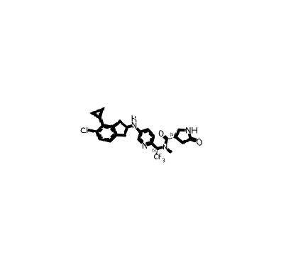 CN(C(=O)[C@@H]1CNC(=O)C1)[C@@H](c1ccc(NC2Cc3ccc(Cl)c(C4CC4)c3C2)cn1)C(F)(F)F